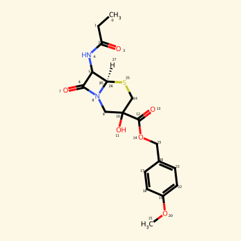 CCC(=O)NC1C(=O)N2CC(O)(C(=O)OCc3ccc(OC)cc3)CS[C@H]12